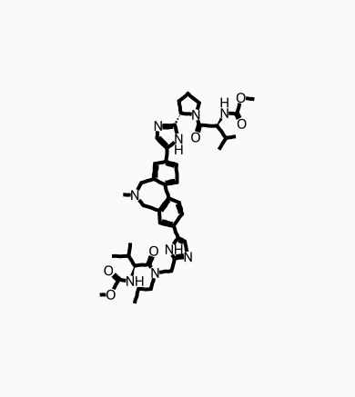 CCCN(Cc1ncc(-c2ccc3c(c2)CN(C)Cc2cc(-c4cnc([C@@H]5CCCN5C(=O)[C@@H](NC(=O)OC)C(C)C)[nH]4)ccc2-3)[nH]1)C(=O)[C@@H](NC(=O)OC)C(C)C